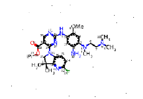 COc1cc(N(C)CCN(C)C)c(N)cc1Nc1ncc(C(=O)OC(C)C)c(N2CC(C)(C)c3nc(F)ccc32)n1